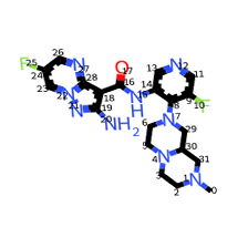 CN1CCN2CCN(c3c(F)cncc3NC(=O)c3c(N)nn4cc(F)cnc34)CC2C1